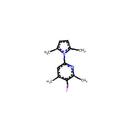 Cc1cc(-n2c(C)ccc2C)nc(C)c1I